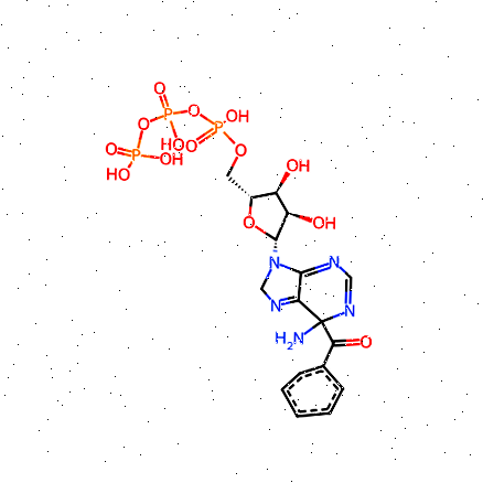 NC1(C(=O)c2ccccc2)N=CN=C2C1=NCN2[C@@H]1O[C@H](COP(=O)(O)OP(=O)(O)OP(=O)(O)O)[C@@H](O)[C@H]1O